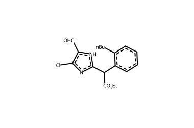 CCCCc1ccccc1C(C(=O)OCC)c1nc(Cl)c(C=O)[nH]1